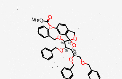 COC(=O)Oc1ccc2c(c1)[C@]1(OC2)O[C@H]([C@@H](COCc2ccccc2)OCc2ccccc2)[C@H](OCc2ccccc2)[C@H]1OCc1ccccc1